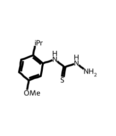 COc1ccc(C(C)C)c(NC(=S)NN)c1